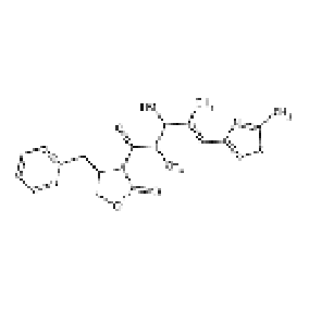 CC(=Cc1csc(C)n1)C(O)C(C)C(=O)N1C(=O)OCC1Cc1ccccc1